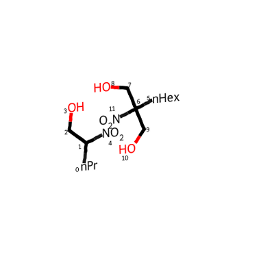 CCCC(CO)[N+](=O)[O-].CCCCCCC(CO)(CO)[N+](=O)[O-]